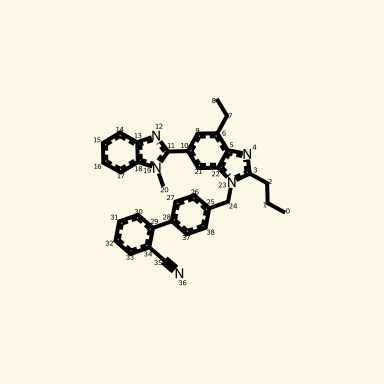 CCCc1nc2c(CC)cc(-c3nc4ccccc4n3C)cc2n1Cc1ccc(-c2ccccc2C#N)cc1